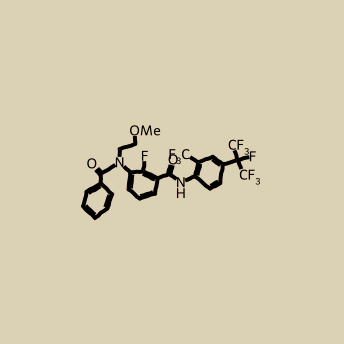 COCCN(C(=O)c1ccccc1)c1cccc(C(=O)Nc2ccc(C(F)(C(F)(F)F)C(F)(F)F)cc2C(F)(F)F)c1F